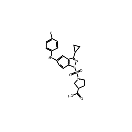 O=C(O)C1CCN(S(=O)(=O)n2nc(C3CC3)c3cc(Nc4ccc(F)cc4)ccc32)C1